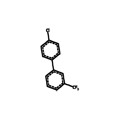 FC(F)(F)c1[c]ccc(-c2ccc(Cl)cc2)c1